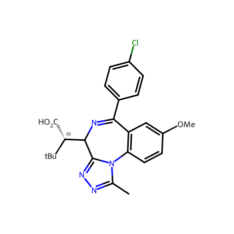 COc1ccc2c(c1)C(c1ccc(Cl)cc1)=NC([C@@H](C(=O)O)C(C)(C)C)c1nnc(C)n1-2